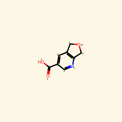 O=C(O)c1cnc2c(c1)COC2